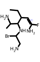 CCC(/C=C(\N)F)C(NC(Br)CN)C(C)N